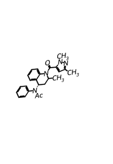 CC(=O)N(c1ccccc1)[C@H]1CC(C)N(C(=O)c2cc(C)nn2C)c2ccccc21